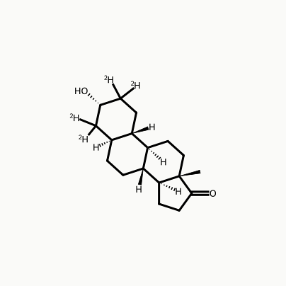 [2H]C1([2H])C[C@@H]2[C@H]3CC[C@]4(C)C(=O)CC[C@H]4[C@@H]3CC[C@H]2C([2H])([2H])[C@@H]1O